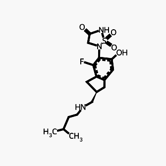 CC(C)CCNC[C@@H]1Cc2cc(O)c(N3CC(=O)NS3(=O)=O)c(F)c2C1